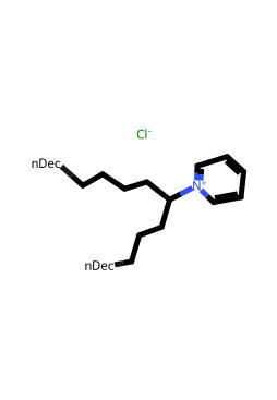 CCCCCCCCCCCCCCC(CCCCCCCCCCCCC)[n+]1ccccc1.[Cl-]